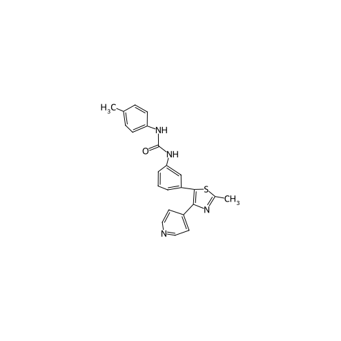 Cc1ccc(NC(=O)Nc2cccc(-c3sc(C)nc3-c3ccncc3)c2)cc1